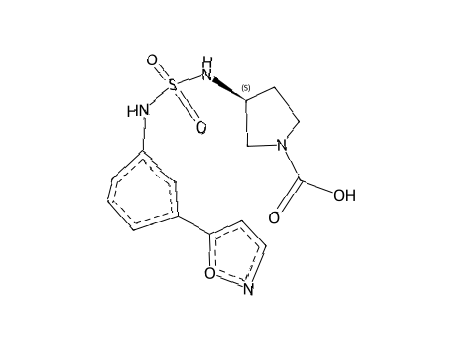 O=C(O)N1CC[C@H](NS(=O)(=O)Nc2cccc(-c3ccno3)c2)C1